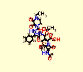 CCN1CCN(C(=O)NC(C(=O)NC(OC(C)=O)C2=C(C(=O)O)N3C(=O)[C@H](NC=O)[C@H]3[S+]([O-])C2)c2ccccc2)C(=O)C1=O